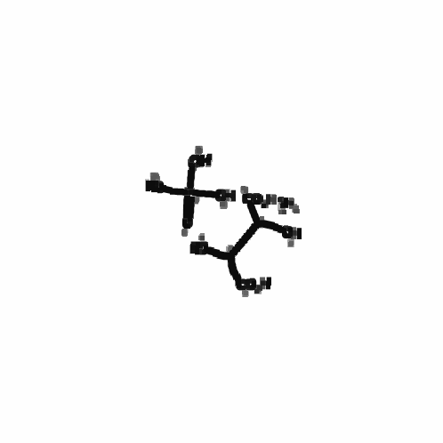 O=C(O)C(O)C(O)C(=O)O.O=P(O)(O)O.S